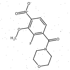 COc1c([N+](=O)[O-])ccc(C(=O)N2CCOCC2)c1F